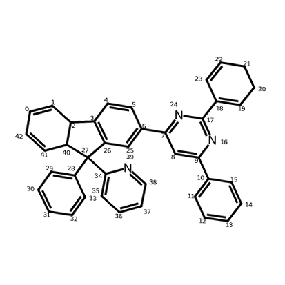 C1=CC2c3ccc(-c4cc(-c5ccccc5)nc(C5=CCCC=C5)n4)cc3C(c3ccccc3)(c3ccccn3)C2C=C1